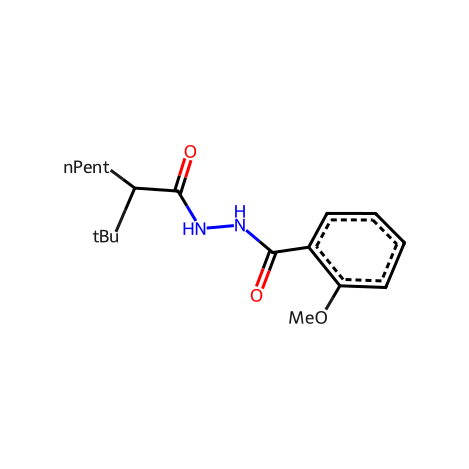 CCCCCC(C(=O)NNC(=O)c1ccccc1OC)C(C)(C)C